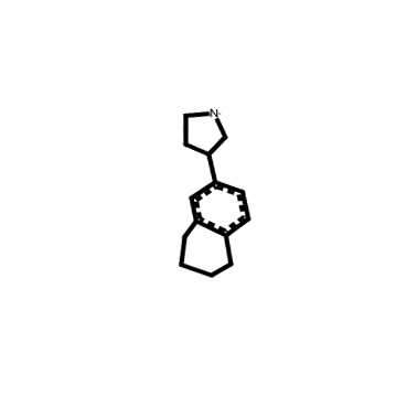 c1cc2c(cc1C1CC[N]C1)CCCC2